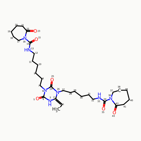 CC=C1NC(=O)N(CCCCCCNC(=O)N2CCCCCC2=O)C(=O)N1CCCCCCNC(=O)N1CCCCCC1=O